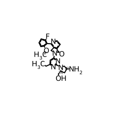 CCc1cc(N2Cc3c(ccnc3-c3c(F)cccc3OC)C2=O)nc(N2C[C@@H](N)C[C@H]2CO)n1